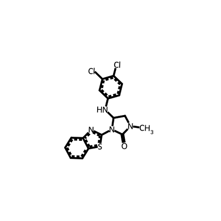 CN1CC(Nc2ccc(Cl)c(Cl)c2)N(c2nc3ccccc3s2)C1=O